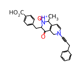 CC1C2=C(CN(C#CCc3ccccc3)C=C2)C(=O)C(Cc2ccc(C(=O)O)cc2)[NH+]1[O-]